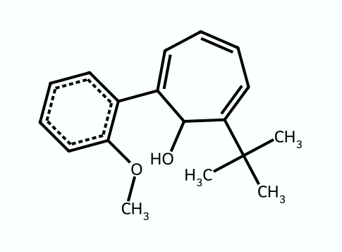 COc1ccccc1C1=CC=CC=C(C(C)(C)C)C1O